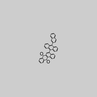 O=C1c2ccccc2C(=O)c2c1cc(-c1c3ccccc3c(-c3ccc4ccccc4c3)c3ccccc13)c1ccccc21